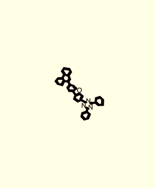 c1ccc(-c2nc(-c3ccccc3)nc(-c3ccc4c(c3)oc3cc(-c5cc6ccccc6c6ccccc56)ccc34)n2)cc1